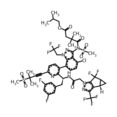 CC(C)COC(=O)CC(C)(C)C(=O)N(c1nn(CC(F)(F)F)c2c(-c3ccc(C#CC(C)(C)S(C)(=O)=O)nc3[C@H](Cc3cc(F)cc(F)c3)NC(=O)Cn3nc(C(F)(F)F)c4c3C(F)(F)C3C[C@H]43)ccc(Cl)c12)S(C)(=O)=O